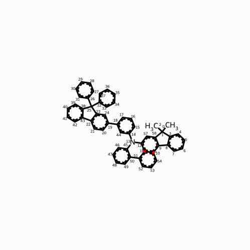 CC1(C)c2ccccc2-c2ccc(N(c3cccc(-c4ccc5c(c4)C(c4ccccc4)(c4ccccc4)c4ccccc4-5)c3)c3ccccc3-c3ccccc3)cc21